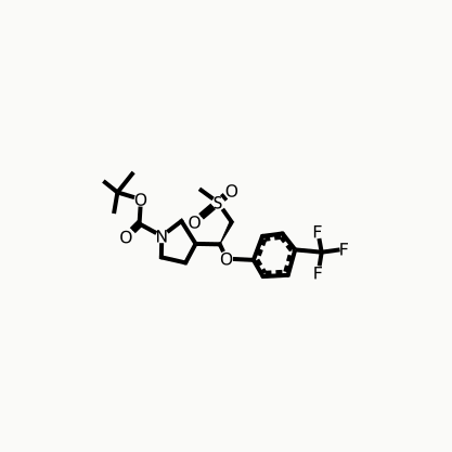 CC(C)(C)OC(=O)N1CCC([C@@H](CS(C)(=O)=O)Oc2ccc(C(F)(F)F)cc2)C1